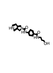 O=C(NCCCO)c1ccc(NC(=O)N2C=C3C=CNC=C3C2)cc1